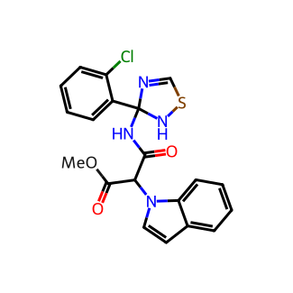 COC(=O)C(C(=O)NC1(c2ccccc2Cl)N=CSN1)n1ccc2ccccc21